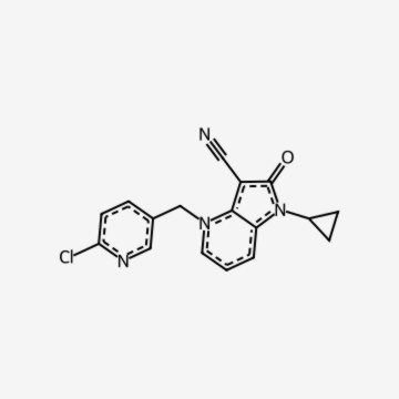 N#Cc1c2n(Cc3ccc(Cl)nc3)cccc-2n(C2CC2)c1=O